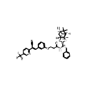 CC1(C)[C@@H]2C[C@H]3OB([C@H](Cc4ccccc4)NC(=O)CCOc4cccc(C=C(C#N)c5ccc(C(F)(F)F)cn5)c4)O[C@@]3(C)[C@H]1C2